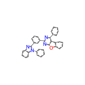 c1ccc(-c2nc(-c3cccc(-c4nc5ccccc5n4-c4ccccc4)c3)nc3oc4ccccc4c23)cc1